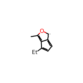 CCC1=CC=C2[CH]OC(C)=C21